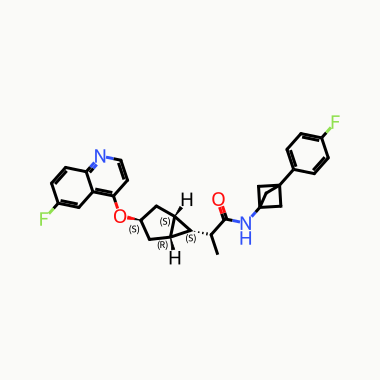 CC(C(=O)NC12CC(c3ccc(F)cc3)(C1)C2)[C@@H]1[C@@H]2C[C@@H](Oc3ccnc4ccc(F)cc34)C[C@@H]21